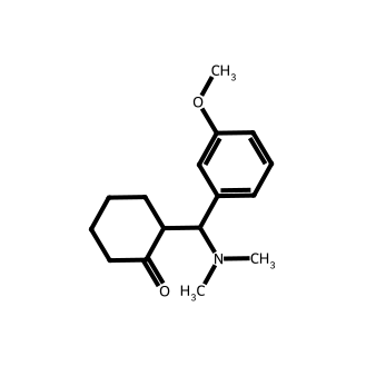 COc1cccc(C(C2CCCCC2=O)N(C)C)c1